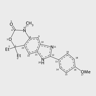 CCC1(CC)OC(=O)N(C)c2cc3nc(-c4ccc(OC)cc4)[nH]c3cc21